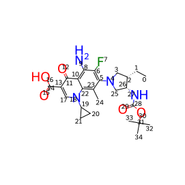 CC[C@H]1CN(c2c(F)c(N)c3c(=O)c(C(=O)O)cn(C4CC4)c3c2C)C[C@H]1NC(=O)OC(C)(C)C